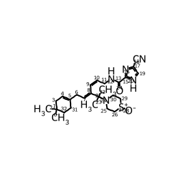 CC1(C)CC=C(C/C=C(\C=C/CNC(=O)c2nc(C#N)c[nH]2)C(C)(C)N2CC[S+]([O-])CC2)CC1